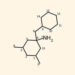 CC1CC(C)CC(N)(CC2CCCCC2)C1